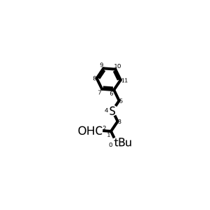 CC(C)(C)C(C=O)CSCc1ccccc1